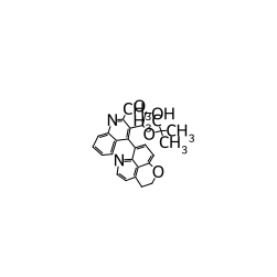 Cc1nc2ccccc2c(-c2ccc3c4c(ccnc24)CCO3)c1C(OC(C)(C)C)C(=O)O